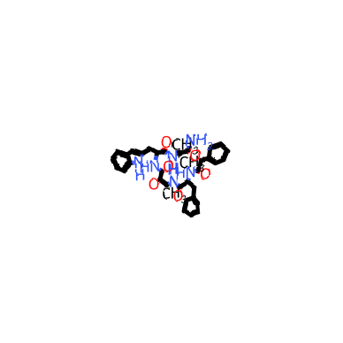 CC(NC(=O)C(Cc1ccccc1)NC(=O)Cc1ccccc1)C(=O)C(=O)NC(Cc1cc2ccccc2[nH]1)C(=O)NC(C)(C)C(N)=O